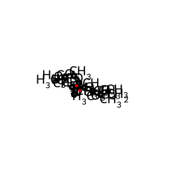 C=C(C)C(=O)Oc1c(C)cc(Oc2c(C)cc(Oc3ccc(C(C)(c4cc(C)c(Oc5cc(C)c(Oc6cc(C)c(OC(=O)C(=C)C)c(C)c6)c(C)c5)c(C)c4)P4(=O)Oc5ccccc5-c5ccccc54)cc3)cc2C)cc1C